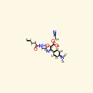 C=CCCC(=O)NCc1nc(-c2ccc(N(C)C)cc2)c(C(=O)OCC#N)o1